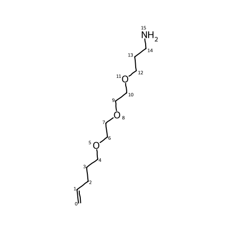 C=CCCCOCCOCCOCCCN